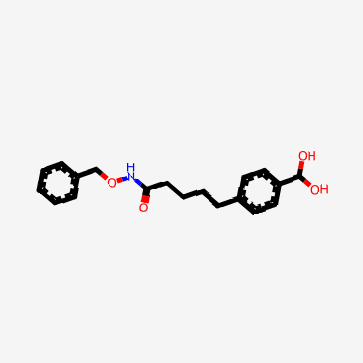 O=C(CCCCc1ccc(C(O)O)cc1)NOCc1ccccc1